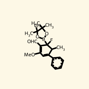 COC1=C(C=O)C(F)(B2OC(C)(C)C(C)(C)O2)C(C)C(c2ccccc2)=C1